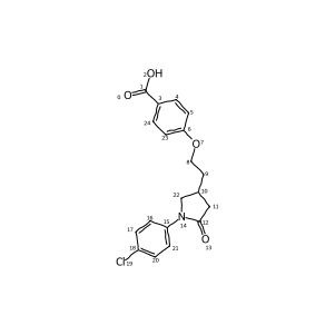 O=C(O)c1ccc(OCCC2CC(=O)N(c3ccc(Cl)cc3)C2)cc1